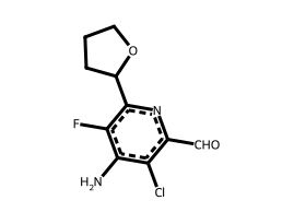 Nc1c(F)c(C2CCCO2)nc(C=O)c1Cl